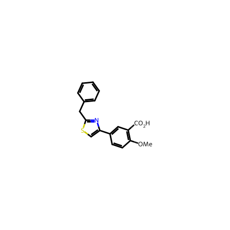 COc1ccc(-c2csc(Cc3ccccc3)n2)cc1C(=O)O